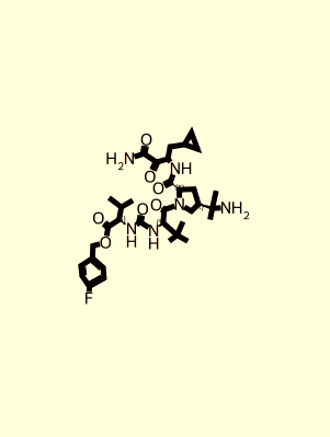 CC(C)[C@H](NC(=O)N[C@H](C(=O)N1C[C@H](C(C)(C)N)C[C@H]1C(=O)NC(CC1CC1)C(=O)C(N)=O)C(C)(C)C)C(=O)OCc1ccc(F)cc1